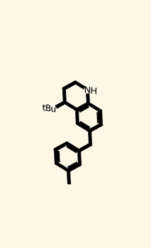 Cc1cccc(Cc2ccc3c(c2)C(C(C)(C)C)CCN3)c1